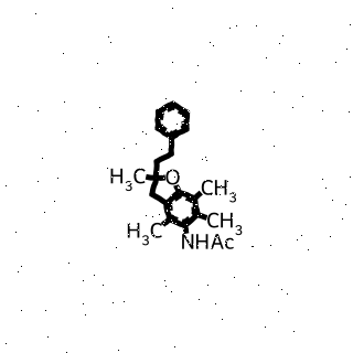 CC(=O)Nc1c(C)c(C)c2c(c1C)CC(C)(CCc1ccccc1)O2